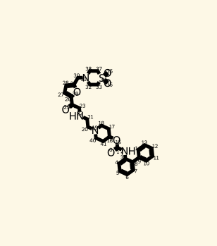 O=C(Nc1ccccc1-c1ccccc1)OC1CCN(CCNCC(=O)c2ccc(CN3CCS(=O)(=O)CC3)o2)CC1